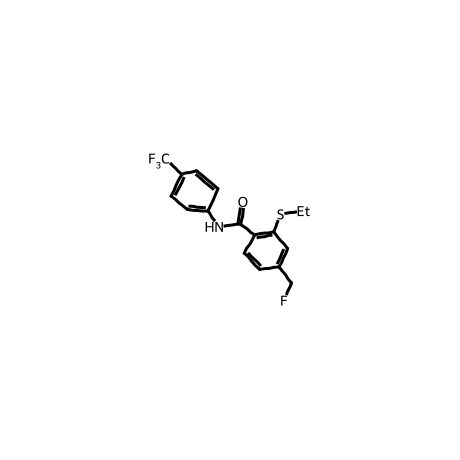 CCSc1cc(CF)ccc1C(=O)Nc1ccc(C(F)(F)F)cc1